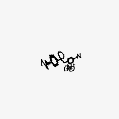 N#Cc1ccc(C(=O)Cc2ccc(C#N)cc2[N+](=O)[O-])cc1